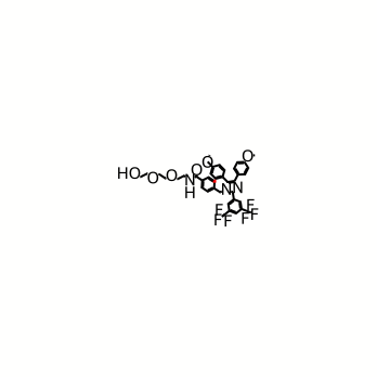 COc1ccc(-c2nc(-c3cc(C(F)(F)F)cc(C(F)(F)F)c3)n(Cc3ccc(C(=O)NCCOCCOCCO)cc3)c2-c2ccc(OC)cc2)cc1